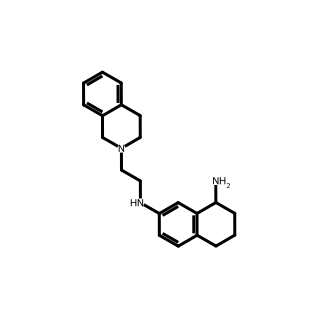 NC1CCCc2ccc(NCCN3CCc4ccccc4C3)cc21